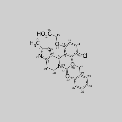 Cc1nc2c(s1)C(c1cc(Cl)ccc1OCC(=O)O)N(C(=O)OCc1ccccc1)CC2